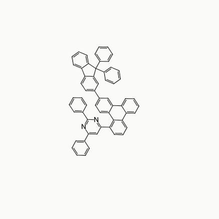 c1ccc(-c2cc(-c3cccc4c5ccccc5c5cc(-c6ccc7c(c6)C(c6ccccc6)(c6ccccc6)c6ccccc6-7)ccc5c34)nc(-c3ccccc3)n2)cc1